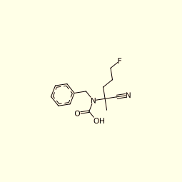 CC(C#N)(CCCF)N(Cc1ccccc1)C(=O)O